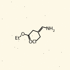 CCOC(=O)C/C(=C/N)CCl